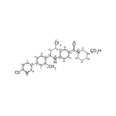 Cc1cc(-c2ccc(Cl)nc2)ccc1C(CCC(F)(F)F)Nc1ccc(C(=O)N2CCC[C@@H](C(=O)O)C2)cc1